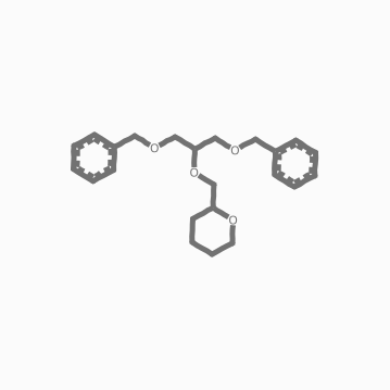 c1ccc(COCC(COCc2ccccc2)OCC2CCCCO2)cc1